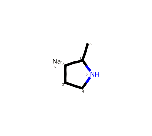 CC1CCCN1.[Na]